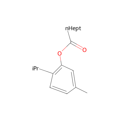 CCCCCCCC(=O)Oc1cc(C)ccc1C(C)C